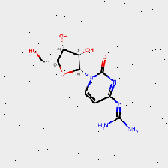 NC(N)=Nc1ccn([C@@H]2O[C@H](CO)[C@H](O)[C@@H]2O)c(=O)n1